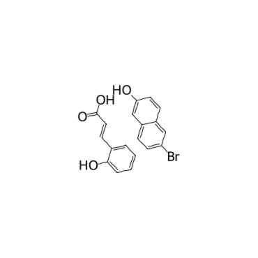 O=C(O)/C=C/c1ccccc1O.Oc1ccc2cc(Br)ccc2c1